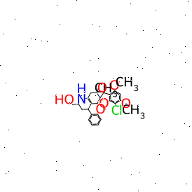 COc1cc(OC)c2c(c1Cl)O[C@@]1(C(=O)C3=C(C[C@H]1C)NC(CO)CC3c1ccccc1)C2=O